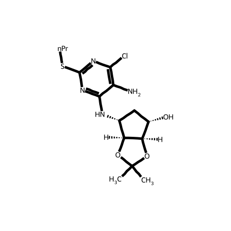 CCCSc1nc(Cl)c(N)c(N[C@@H]2C[C@H](O)[C@H]3OC(C)(C)O[C@H]32)n1